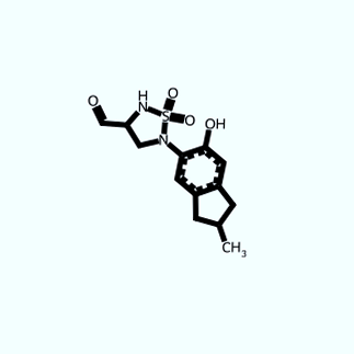 CC1Cc2cc(O)c(N3CC(C=O)NS3(=O)=O)cc2C1